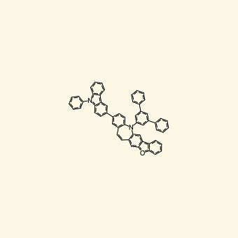 C1=Cc2cc3oc4ccccc4c3cc2N(c2cc(-c3ccccc3)cc(-c3ccccc3)c2)c2ccc(-c3ccc4c(c3)c3ccccc3n4-c3ccccc3)cc21